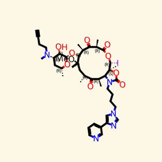 C#CCCN(C)[C@H]1C[C@@H](C)O[C@@H](O[C@@H]2[C@@H](C)C(=O)[C@@H](C)C(=O)O[C@H](I)[C@@]3(C)OC(=O)N(CCCCn4cnc(-c5cccnc5)c4)C3[C@@H](C)C(=O)[C@H](C)C[C@@]2(C)OC)[C@@H]1O